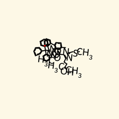 CCOC(=O)c1c(CCC(C)(C)O)nc(CSC)n1Cc1ccc(-c2ccccc2C2(C(c3ccccc3)(c3ccccc3)c3ccccc3)N=NN=N2)cc1